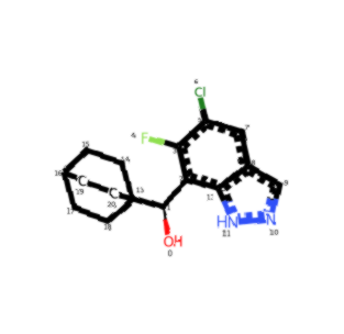 O[C@H](c1c(F)c(Cl)cc2cn[nH]c12)C12CCC(CC1)CC2